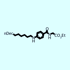 CCCCCCCCCCCCCCCCNc1ccc(C(=O)NCC(=O)OCC)cc1